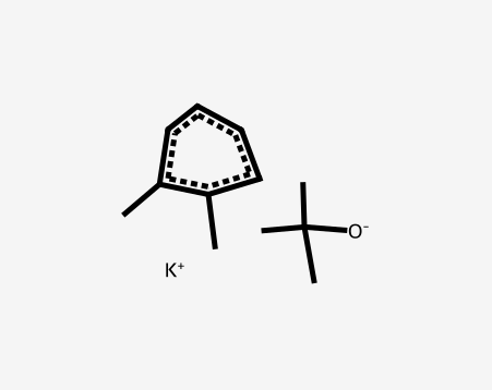 CC(C)(C)[O-].Cc1ccccc1C.[K+]